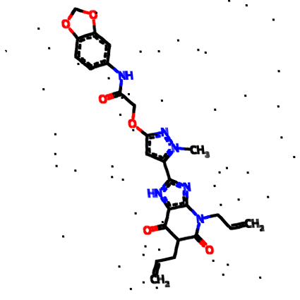 C=CCC1C(=O)c2[nH]c(-c3cc(OCC(=O)Nc4ccc5c(c4)OCO5)nn3C)nc2N(CC=C)C1=O